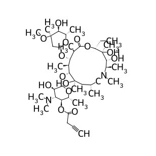 C#CCC(=O)O[C@H]1[C@H](N(C)C)[C@@H](O)[C@H](O[C@@H]2[C@@H](C)[C@H](O[C@H]3C[C@@](C)(OC)[C@@H](O)[C@H](C)O3)[C@@H](C)C(=O)O[C@H](CC)[C@@](C)(O)[C@H](O)[C@@H](C)N(C)C[C@H](C)C[C@@]2(C)O)O[C@@H]1C